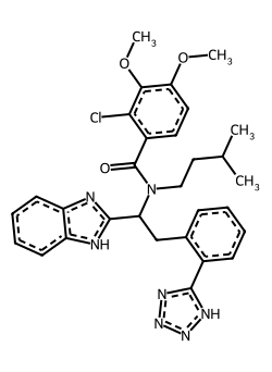 COc1ccc(C(=O)N(CCC(C)C)C(Cc2ccccc2-c2nnn[nH]2)c2nc3ccccc3[nH]2)c(Cl)c1OC